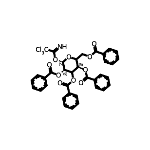 N=C(O[C@@H]1OC(COC(=O)c2ccccc2)[C@@H](OC(=O)c2ccccc2)C(OC(=O)c2ccccc2)[C@@H]1OC(=O)c1ccccc1)C(Cl)(Cl)Cl